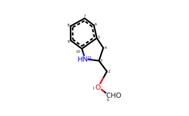 O=COCC1Cc2ccccc2N1